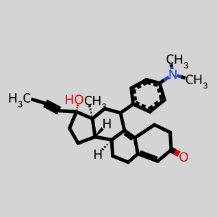 CC#C[C@]1(O)CC[C@H]2[C@@H]3CCC4=CC(=O)CCC4=C3C(c3ccc(N(C)C)cc3)C[C@@]21C